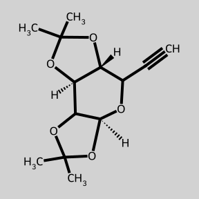 C#CC1O[C@H]2OC(C)(C)OC2[C@H]2OC(C)(C)O[C@H]12